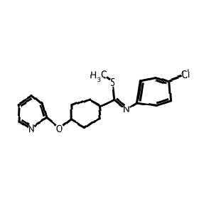 CSC(=Nc1ccc(Cl)cc1)C1CCC(Oc2ccccn2)CC1